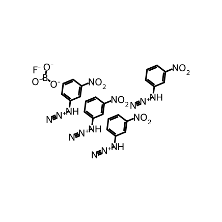 N#[N+]Nc1cccc([N+](=O)[O-])c1.N#[N+]Nc1cccc([N+](=O)[O-])c1.N#[N+]Nc1cccc([N+](=O)[O-])c1.N#[N+]Nc1cccc([N+](=O)[O-])c1.[F-].[O-]B([O-])[O-]